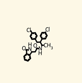 CC(NC(=O)CC1NC(=O)c2ccccc21)C(Cc1ccc(Cl)cc1)c1ccc(Cl)cc1